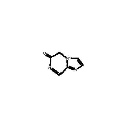 O=C1C[N+]2C=CN=C2C=N1